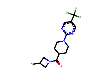 [2H]C1CN(C(=O)C2CCN(c3ncc(C(F)(F)F)cn3)CC2)C1